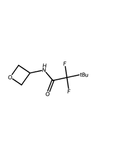 CC(C)(C)C(F)(F)C(=O)NC1COC1